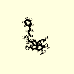 COC1=CC(CC=O)C(CCCN(C)CCCc2ccccc2)(C(C)C)C(OC)=C1OC